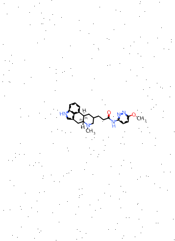 COc1ccc(NC(=O)CCC2C[C@@H]3c4cccc5[nH]cc(c45)C[C@H]3N(C)C2)nn1